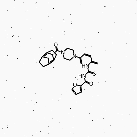 C=C(/C=C\C(=C)N1CCN(C(=O)C2C3=C4CCC(=C2CC3)C4)CC1)NC(=S)NC(=O)c1ccco1